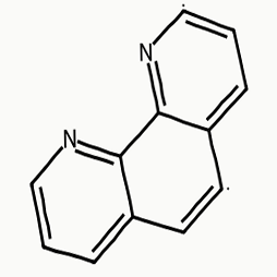 [c]1ccc2[c]cc3cccnc3c2n1